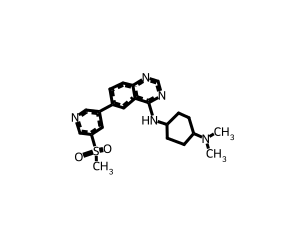 CN(C)C1CCC(Nc2ncnc3ccc(-c4cncc(S(C)(=O)=O)c4)cc23)CC1